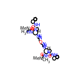 CN[C@@H](C)C(=O)N[C@H]1CC[C@@H](n2cc(COCc3cn([C@@H]4CC[C@H](NC(=O)[C@H](C)NC)C(=O)N5[C@H](CC[C@H]5C(=O)N[C@H]5CCCc6ccccc65)C4)nn3)nn2)C[C@H]2CC[C@@H](C(=O)N[C@@H]3CCCc4ccccc43)N2C1